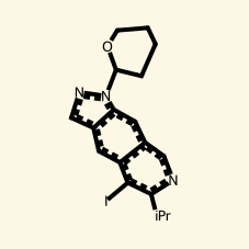 CC(C)c1ncc2cc3c(cnn3C3CCCCO3)cc2c1I